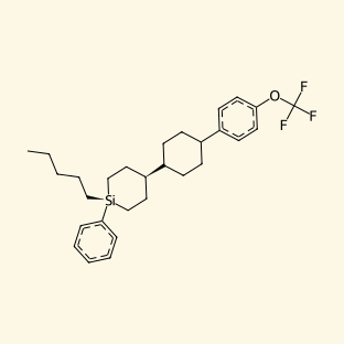 CCCCC[Si@]1(c2ccccc2)CC[C@H](C2CCC(c3ccc(OC(F)(F)F)cc3)CC2)CC1